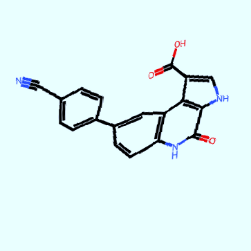 N#Cc1ccc(-c2ccc3[nH]c(=O)c4[nH]cc(C(=O)O)c4c3c2)cc1